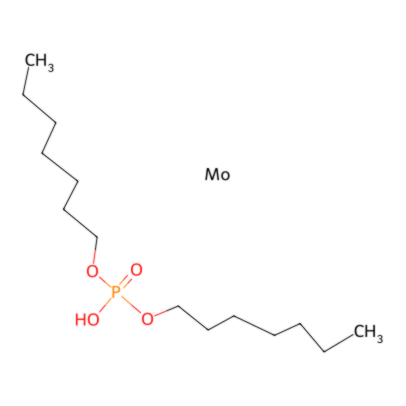 CCCCCCCOP(=O)(O)OCCCCCCC.[Mo]